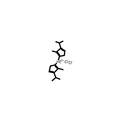 CC1=[C]([Hf+2][C]2=C(C)C(C(C)C)=CC2)CC=C1C(C)C.[Cl-].[Cl-]